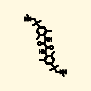 CNCC(C)(C)c1cc(C)c(NC(=O)C(=O)Nc2c(C)cc(C(C)(C)CNC)cc2C)c(C)c1